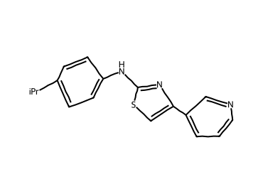 CC(C)c1ccc(Nc2nc(-c3cccnc3)cs2)cc1